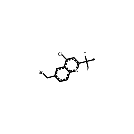 FC(F)(F)c1cc(Cl)c2cc(CBr)ccc2n1